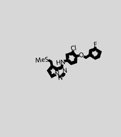 CSCc1ccn2ncnc(Nc3ccc(OCc4cccc(F)c4)c(Cl)c3)c12